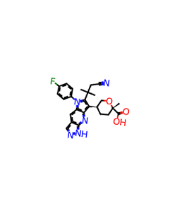 CC(C)(CC#N)c1c([C@@H]2CC[C@@](C)(C(=O)O)OC2)c2nc3[nH]ncc3cc2n1-c1ccc(F)cc1